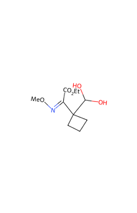 CCOC(=O)C(=NOC)C1(C(O)O)CCC1